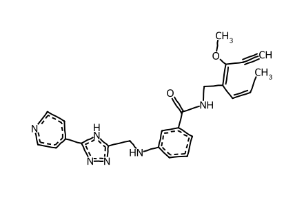 C#C/C(OC)=C(\C=C/C)CNC(=O)c1cccc(NCc2nnc(-c3ccncc3)[nH]2)c1